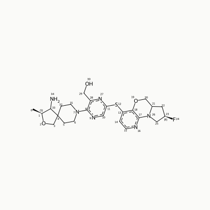 C[C@@H]1OCC2(CCN(c3ncc(Sc4ccnc5c4OCC4C[C@@H](F)CN54)nc3CO)CC2)C1N